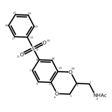 CC(=O)NCC1COc2ccc(S(=O)(=O)c3ccccc3)cc2O1